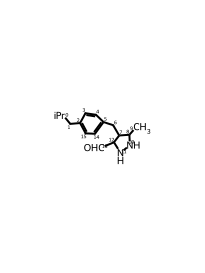 CC(C)Cc1ccc(CC2C(C)NNC2C=O)cc1